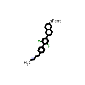 C/C=C/CCc1ccc(-c2c(F)cc(C3CCC4CC(CCCCC)CCC4C3)cc2F)cc1